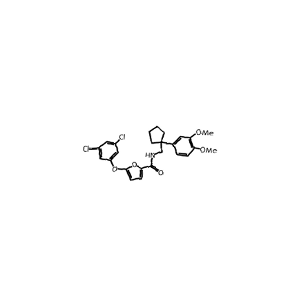 COc1ccc(C2(CNC(=O)c3ccc(Oc4cc(Cl)cc(Cl)c4)o3)CCCC2)cc1OC